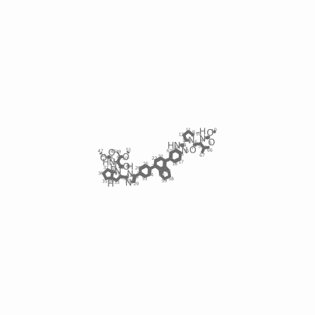 COC(=O)N[C@H](C(=O)N1[C@@H](C)CC[C@H]1c1nc2ccc(-c3ccc(-c4ccc(-c5cnc(C6C[C@@H]7CCC[C@@H]7N6C(=O)[C@@H](NC(=O)OC)[C@@H](C)OC)[nH]5)cc4)c4c3C3CCC4C3)cc2[nH]1)C(C)C